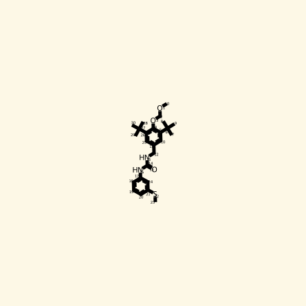 COCOc1c(C(C)(C)C)cc(CNC(=O)Nc2cccc(SC)c2)cc1C(C)(C)C